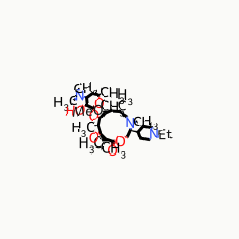 CCN1CCC([C@H]2COC(=O)C(C)(C)C(=O)[C@H](C)[C@@H](O[C@@H]3O[C@H](C)C[C@H](N(C)C)[C@H]3O)[C@](C)(OC)C[C@@H](C)CN2C)CC1